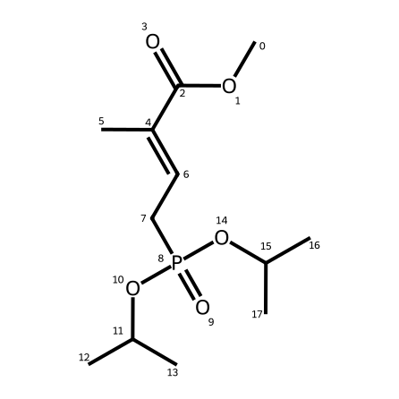 COC(=O)C(C)=CCP(=O)(OC(C)C)OC(C)C